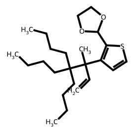 C=CC(C)(c1ccsc1C1OCCO1)C(CCCC)(CCCC)CCCC